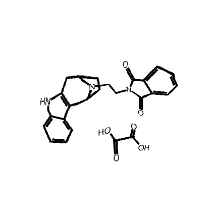 O=C(O)C(=O)O.O=C1c2ccccc2C(=O)N1CCN1C2CCC1c1c([nH]c3ccccc13)C2